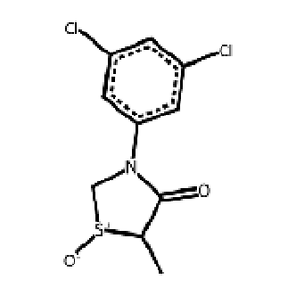 CC1C(=O)N(c2cc(Cl)cc(Cl)c2)C[S+]1[O-]